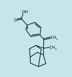 C=C(c1ccc(C(=O)O)cc1)C1(C)C2CC3CC(C2)CC1C3